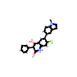 Cn1ccc2cc(-c3cc4c(O)c(-c5ccccc5)c(=O)[nH]c4cc3Cl)ccc21